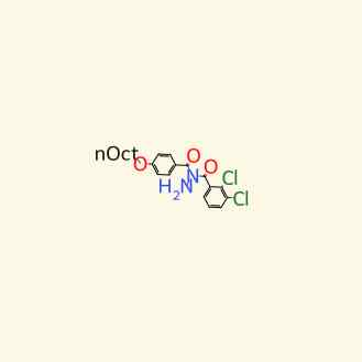 CCCCCCCCOc1ccc(C(=O)N(N)C(=O)c2cccc(Cl)c2Cl)cc1